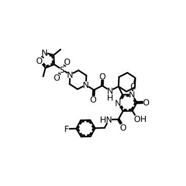 Cc1noc(C)c1S(=O)(=O)N1CCN(C(=O)C(=O)NC23CCC(CC2)Cn2c3nc(C(=O)NCc3ccc(F)cc3)c(O)c2=O)CC1